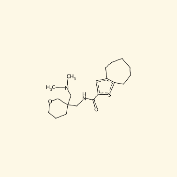 CN(C)CC1(CNC(=O)c2cc3c(s2)CCCCCC3)CCCOC1